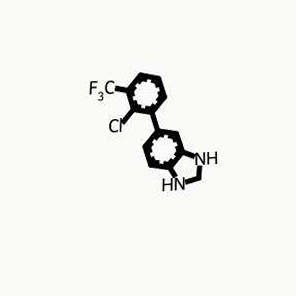 FC(F)(F)c1cccc(-c2ccc3c(c2)NCN3)c1Cl